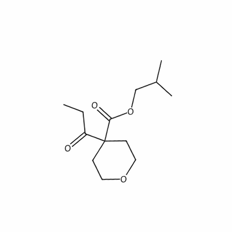 CCC(=O)C1(C(=O)OCC(C)C)CCOCC1